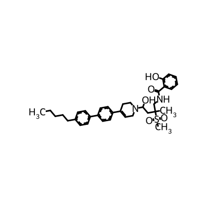 CCCCCc1ccc(-c2ccc(C3=CCN(C(O)CC(C)(CNC(=O)c4ccccc4O)S(C)(=O)=O)CC3)cc2)cc1